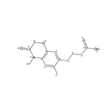 Cc1cc2c(cc1CCCC(=O)O)OCC(=O)N2C